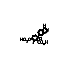 CC1=C(C(=O)O)C=CC(Cl)(c2ccc3[nH]ncc3c2)C1C(=O)O